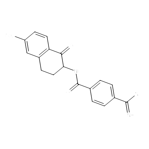 CC(=O)Oc1ccc2c(c1)CCC(NC(=O)c1ccc(C(=N)N)cc1)C2=O